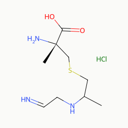 CC(CSC[C@](C)(N)C(=O)O)NCC=N.Cl